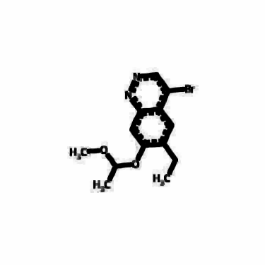 CCc1cc2c(Br)cnnc2cc1OC(C)OC